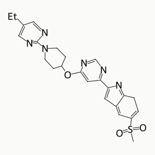 CCc1cnc(N2CCC(Oc3cc(C4=CC5=CC(S(C)(=O)=O)=CCC5=N4)ncn3)CC2)nc1